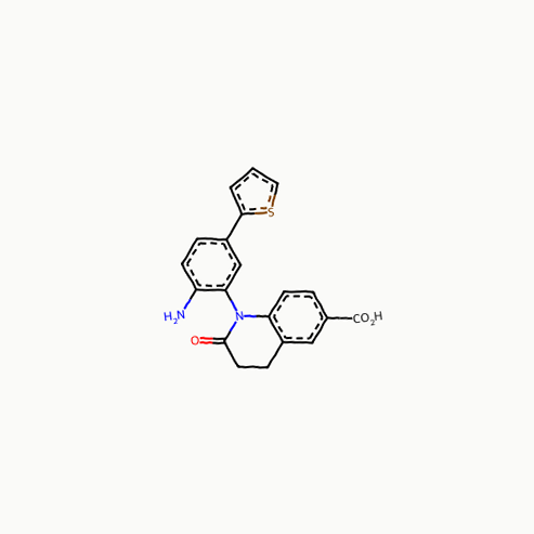 Nc1ccc(-c2cccs2)cc1N1C(=O)CCc2cc(C(=O)O)ccc21